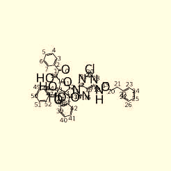 O=C(c1ccccc1)C(O)[C@H]1O[C@@H](n2cnc3c(NOCCc4ccccc4)nc(Cl)nc32)[C@@](O)(C(=O)c2ccccc2)[C@@]1(O)C(=O)c1ccccc1